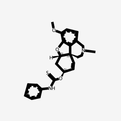 COc1ccc2c3c1O[C@H]1C[C@H](OC(=S)Nc4ccccc4)C=C[C@@]31CCN(C)C2